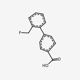 O=C(O)c1ccc(-c2ccccc2CF)cc1